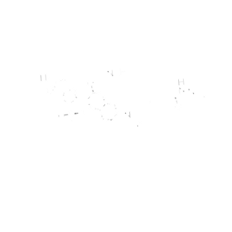 CCN(CCCCCC(=O)NN)c1ccc2cc(-c3sc(S(=O)(=O)O)cc3S(=O)(=O)O)c(=O)oc2c1.[NaH]